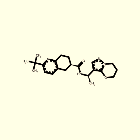 C[C@@H](NC(=O)[C@@H]1CCc2nc(C(C)(C)C(F)(F)F)ccc2C1)c1cnn2c1OCCC2